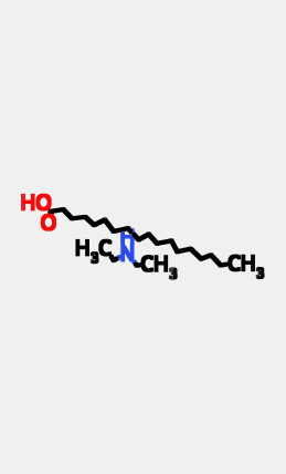 CCCCCCCCCCCCCCCCCC(=O)O.CCNCC